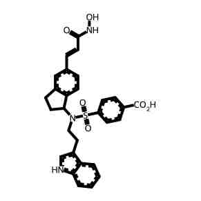 O=C(/C=C/c1ccc2c(c1)CCC2N(CCc1c[nH]c2ccccc12)S(=O)(=O)c1ccc(C(=O)O)cc1)NO